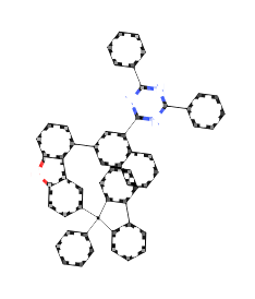 c1ccc(-c2nc(-c3ccccc3)nc(-c3cc(-c4cccc5oc6ccc(C7(c8ccccc8)c8ccccc8-c8ccccc87)cc6c45)cc4ccccc34)n2)cc1